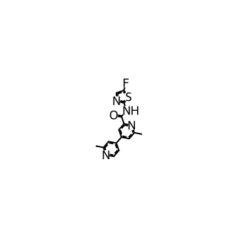 Cc1cc(-c2cc(C)nc(C(=O)Nc3ncc(F)s3)c2)ccn1